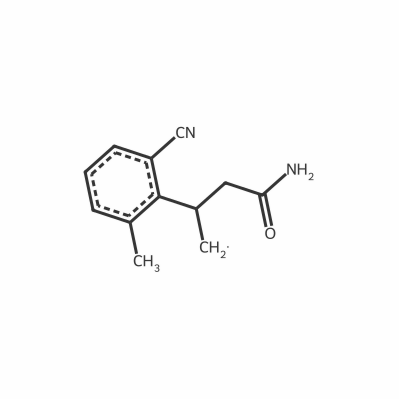 [CH2]C(CC(N)=O)c1c(C)cccc1C#N